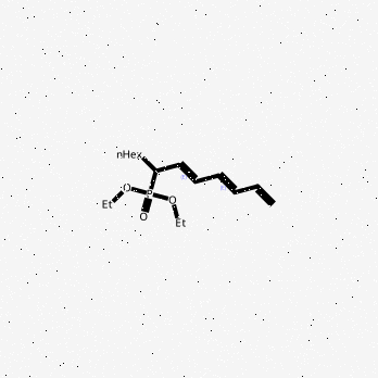 C=C/C=C/C=C/C(CCCCCC)P(=O)(OCC)OCC